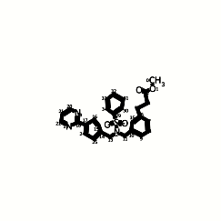 COC(=O)CCc1cccc(CN(Cc2ccc(-c3ncccn3)cc2)S(=O)(=O)c2ccccc2)c1